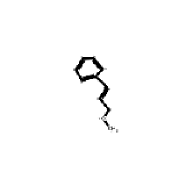 COCC=Cc1ccccc1